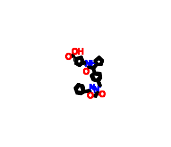 O=C(N[C@H]1CC[C@H](C(=O)O)C1)C(c1ccc(CN2N=C(c3ccccc3)OCC2=O)cc1)C1CCCC1